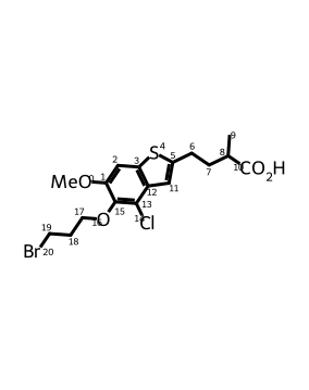 COc1cc2sc(CCC(C)C(=O)O)cc2c(Cl)c1OCCCBr